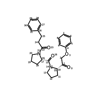 O=C(COc1ccccc1)[C@@H]1CCCN1C(=O)[C@@H]1CCCN1C(=O)CCc1ccccc1